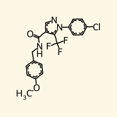 COc1ccc(CNC(=O)c2cnn(-c3ccc(Cl)cc3)c2C(F)(F)F)cc1